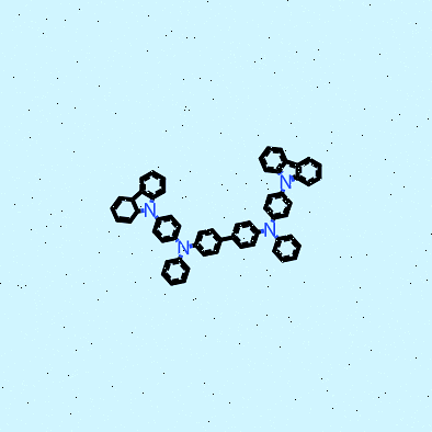 C1=CC2c3ccccc3N(c3ccc(N(c4ccccc4)c4ccc(-c5ccc(N(c6ccccc6)c6ccc(-n7c8ccccc8c8ccccc87)cc6)cc5)cc4)cc3)C2C=C1